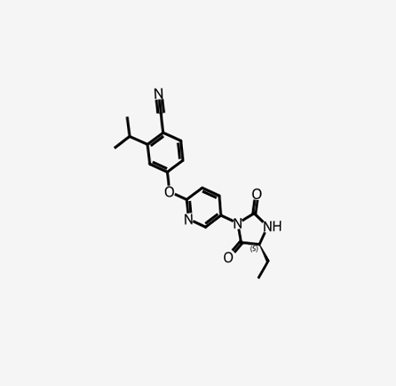 CC[C@@H]1NC(=O)N(c2ccc(Oc3ccc(C#N)c(C(C)C)c3)nc2)C1=O